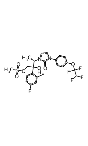 C[C@@H](n1ccn(-c2ccc(OC(F)(F)C(F)F)cc2)c1=O)[C@@](O)(COS(C)(=O)=O)c1ccc(F)cc1F